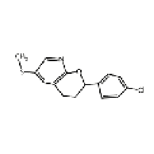 CSc1cnc2c(c1)CCC(c1ccc(Cl)cc1)O2